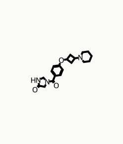 O=C1CN(C(=O)c2ccc(OC3CC(N4CCCCC4)C3)cc2)CN1